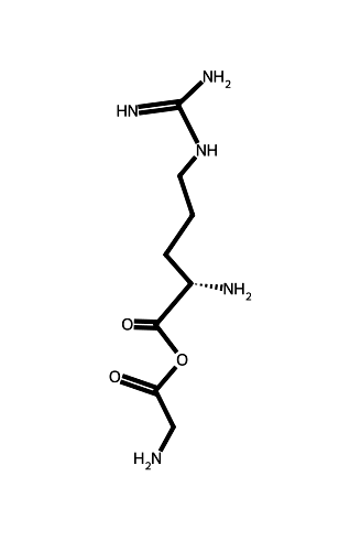 N=C(N)NCCC[C@H](N)C(=O)OC(=O)CN